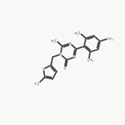 Cc1cc(C)c(-c2nc(C)n(Cc3ccc(C(F)(F)F)s3)c(=O)n2)c(C)c1